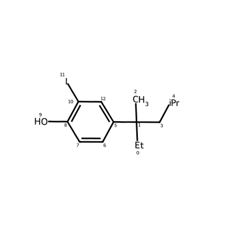 CCC(C)(CC(C)C)c1ccc(O)c(I)c1